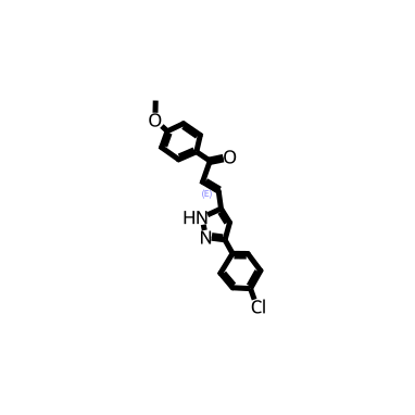 COc1ccc(C(=O)/C=C/c2cc(-c3ccc(Cl)cc3)n[nH]2)cc1